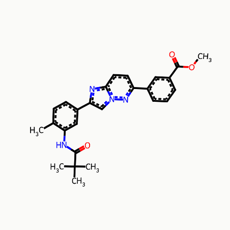 COC(=O)c1cccc(-c2ccc3nc(-c4ccc(C)c(NC(=O)C(C)(C)C)c4)cn3n2)c1